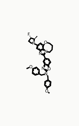 COc1ccc(CN(Cc2ccc(OC)cc2)c2nc3cc(-c4nc5cc(N6CC[C@H](F)[C@H]6C)cc6c5n4CCCCO6)ccc3o2)cc1